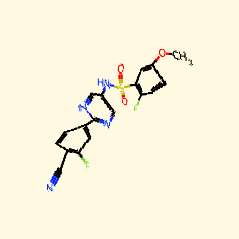 COc1ccc(F)c(S(=O)(=O)Nc2cnc(-c3ccc(C#N)c(F)c3)nc2)c1